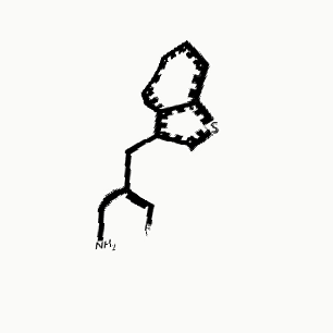 NCC(=CF)Cc1csc2ccccc12